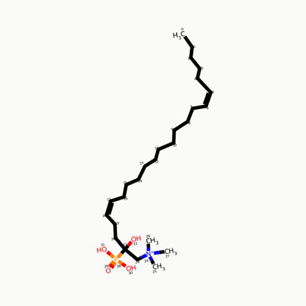 CCCCC/C=C\CCCCCCCCCC/C=C\CCC(O)(C[N+](C)(C)C)P(=O)(O)O